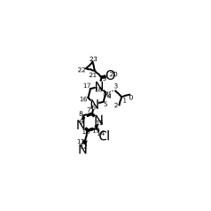 CC(C)C[C@@H]1CN(c2cnc(C#N)c(Cl)n2)CCN1C(=O)C1CC1